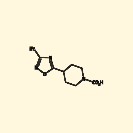 CC(C)c1noc(C2CCN(C(=O)O)CC2)n1